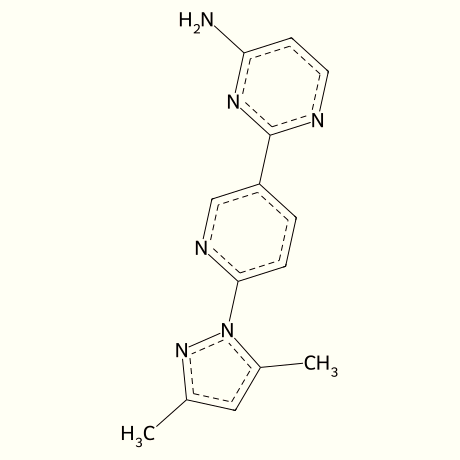 Cc1cc(C)n(-c2ccc(-c3nccc(N)n3)cn2)n1